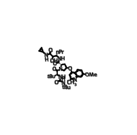 CCC[C@H](NC(=O)[C@@H]1CC(Oc2cc(C)nc3cc(OC)ccc23)CN1C(=O)[C@@H](NC(=O)NC(C)(C)C)C(C)(C)C)C(O)C(=O)NC1CC1